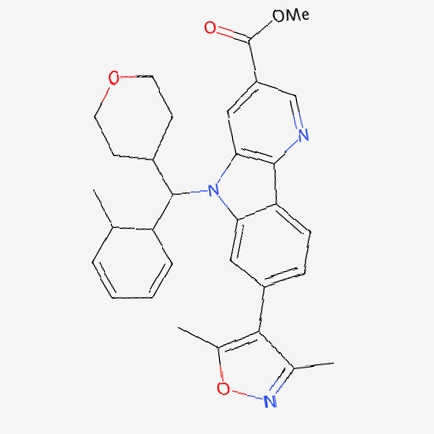 COC(=O)c1cnc2c3ccc(-c4c(C)noc4C)cc3n(C(C3CCOCC3)C3C=CC=CC3C)c2c1